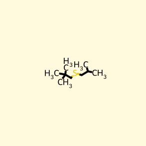 CC(C)CSCC(C)(C)C